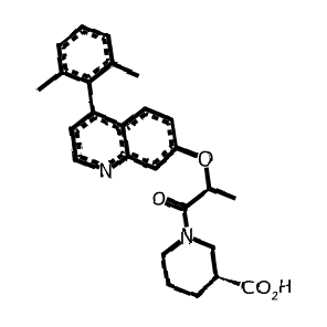 Cc1cccc(C)c1-c1ccnc2cc(OC(C)C(=O)N3CCC[C@H](C(=O)O)C3)ccc12